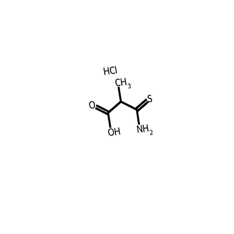 CC(C(=O)O)C(N)=S.Cl